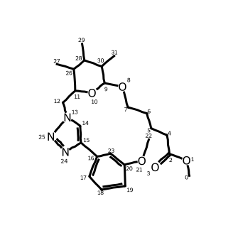 COC(=O)CCCCOC1OC(Cn2cc(-c3cccc(OC)c3)nn2)C(C)C(C)C1C